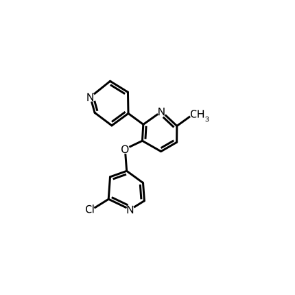 Cc1ccc(Oc2ccnc(Cl)c2)c(-c2ccncc2)n1